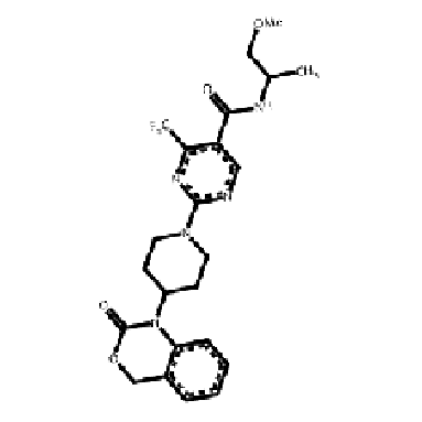 COCC(C)NC(=O)c1cnc(N2CCC(N3C(=O)OCc4ccccc43)CC2)nc1C(F)(F)F